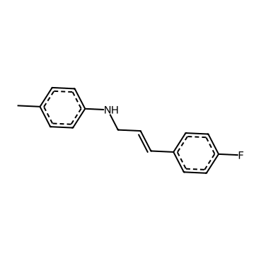 Cc1ccc(NCC=Cc2ccc(F)cc2)cc1